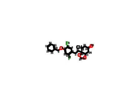 C[C@@H](Cc1cc(F)c(OCc2ccccc2)cc1F)[C@]12CCC(=O)CC1OCO2